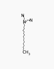 CCCCCCCCCCCCCCCCCCN(CCC#N)CCC#N